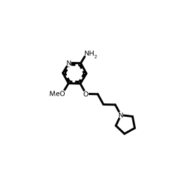 COc1cnc(N)cc1OCCCN1CCCC1